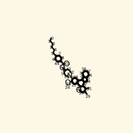 CCCCCCc1ccc(C(=O)OC2CCN(c3cc4c(cc3OC)c3occ(C)c(C)c3c3cc5ccccc5c43)CC2)cc1